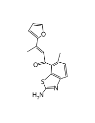 C/C(=C\C(=O)c1c(C)ccc2nc(N)sc12)c1ccco1